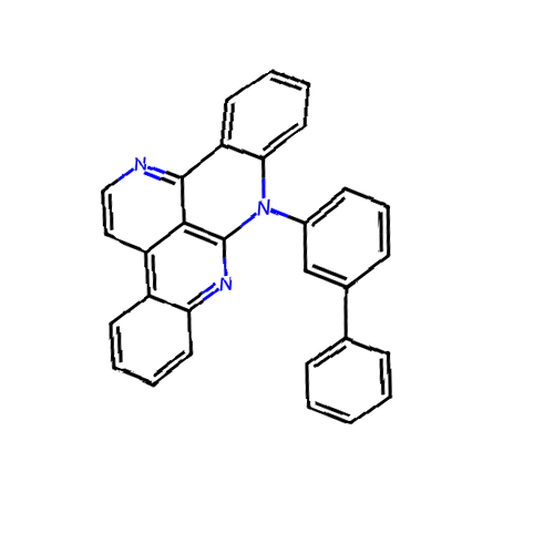 c1ccc(-c2cccc(N3c4ccccc4-c4nccc5c4c3nc3ccccc35)c2)cc1